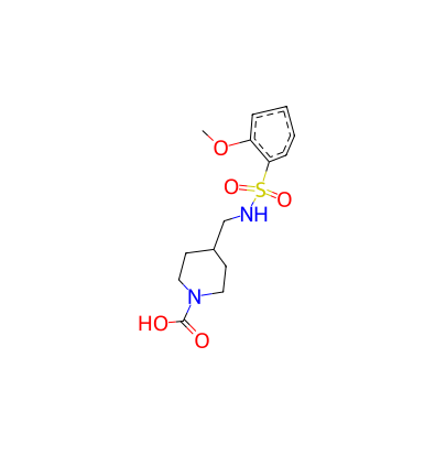 COc1ccccc1S(=O)(=O)NCC1CCN(C(=O)O)CC1